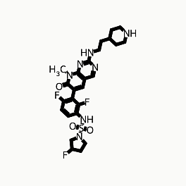 Cn1c(=O)c(-c2c(F)ccc(NS(=O)(=O)N3CCC(F)C3)c2F)cc2cnc(NCCC3CCNCC3)nc21